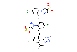 CC(C)c1cc(Cl)cc(CC(C)c2cc(Cl)cc(CC(C)c3c(-n4cc(S(C)(=O)=O)cn4)ccc(Cl)c3F)c2-n2cc(S(C)(=O)=O)cn2)c1-c1cn(C)nn1